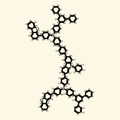 c1ccc(-c2cc(-c3ccccc3)cc(-c3ccc(N(c4ccc(-c5ccc6oc7ccccc7c6c5)cc4)c4ccc(-c5ccc6c7cc(-c8ccc(-c9ccc(N(c%10ccc(-c%11cc(-c%12ccccc%12)cc(-c%12ccccc%12)c%11)cc%10)c%10ccc(-c%11cccc%12c%11oc%11ccccc%11%12)cc%10)cc9)cc8)ccc7n(-c7ccccc7)c6c5)cc4)cc3)c2)cc1